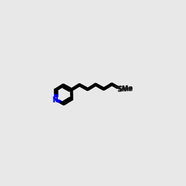 [CH2]SCCCCCc1ccncc1